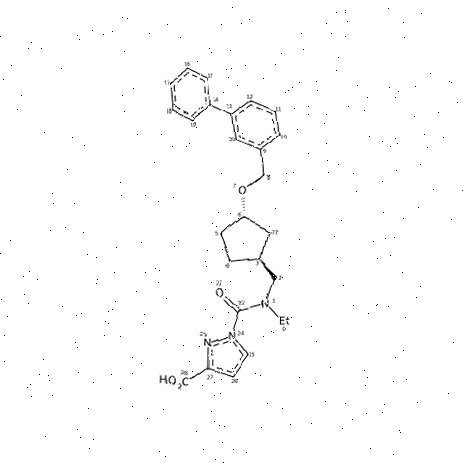 CCN(C[C@H]1CC[C@H](OCc2cccc(-c3ccccc3)c2)C1)C(=O)n1ccc(C(=O)O)n1